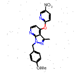 COc1ccc(Cn2nc(C)c3c(Oc4ccc([N+](=O)[O-])cn4)ccnc32)cc1